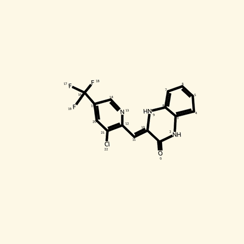 O=C1Nc2ccccc2NC1=Cc1ncc(C(F)(F)F)cc1Cl